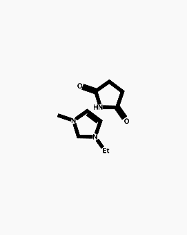 CCN1C=CN(C)C1.O=C1CCC(=O)N1